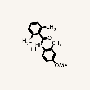 COc1ccc(PC(=O)c2c(C)cccc2C)c(C)c1.[LiH]